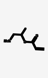 C=CC(=O)OC(C)CNC